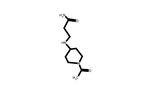 CC(=O)N1CCC(NCCC(N)=O)CC1